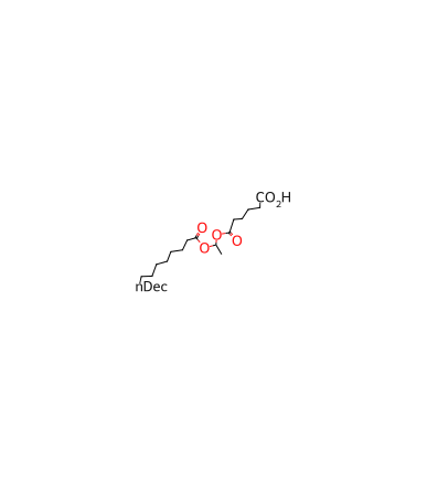 CCCCCCCCCCCCCCCCCC(=O)OC(C)OC(=O)CCCCC(=O)O